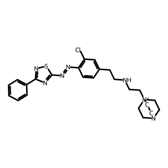 Clc1cc(CCNCC[N+]23CCN(CC2)CC3)ccc1N=Nc1nc(-c2ccccc2)ns1